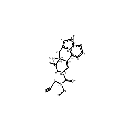 C#CCN(CC)C(=O)[C@@H]1C=C2c3cccc4[nH]cc(c34)C[C@H]2N(C)C1